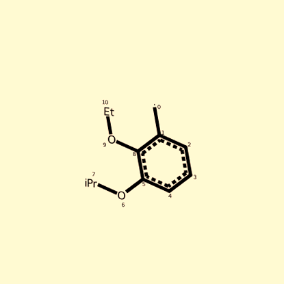 [CH2]c1cccc(OC(C)C)c1OCC